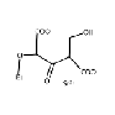 CCOC(C(=O)[O-])C(=O)C(CO)C(=O)[O-].[Sr+2]